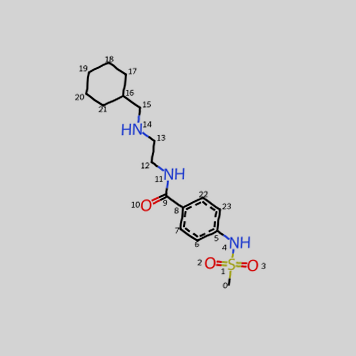 CS(=O)(=O)Nc1ccc(C(=O)NCCNCC2CCCCC2)cc1